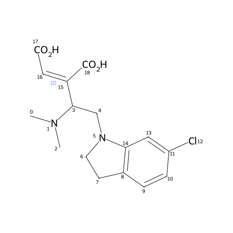 CN(C)C(CN1CCc2ccc(Cl)cc21)/C(=C/C(=O)O)C(=O)O